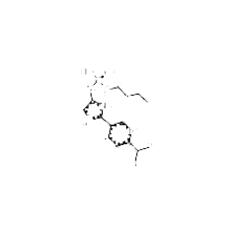 CCCCOP(=O)(O)Nc1csc(-c2ccc(C(C)C)nc2)n1